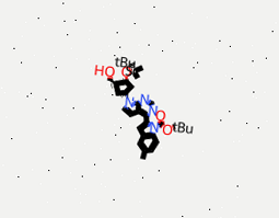 Cc1ccc2c(c1)cc(-c1ncnc3c1ccn3[C@@H]1C[C@@H](CO)[C@@H](O[Si](C)(C)C(C)(C)C)C1)n2C(=O)OC(C)(C)C